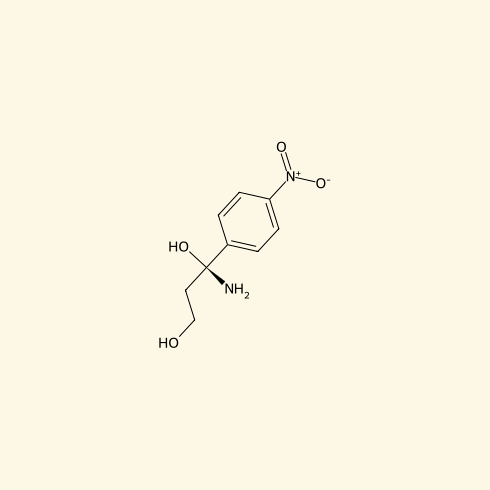 N[C@](O)(CCO)c1ccc([N+](=O)[O-])cc1